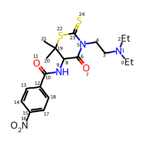 CCN(CC)CCN1C(=O)C(NC(=O)c2ccc([N+](=O)[O-])cc2)C(C)(C)SC1=S